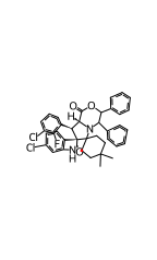 CC1(C)CCC2(CC1)N1C(c3ccccc3)C(c3ccccc3)OC(=O)[C@H]1[C@H](c1cccc(Cl)c1F)[C@@]21C(=O)Nc2cc(Cl)ccc21